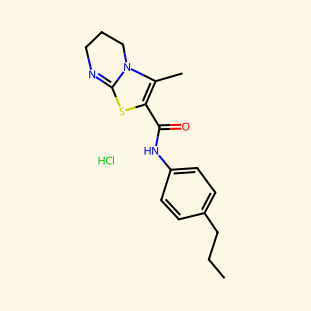 CCCc1ccc(NC(=O)C2=C(C)N3CCCN=C3S2)cc1.Cl